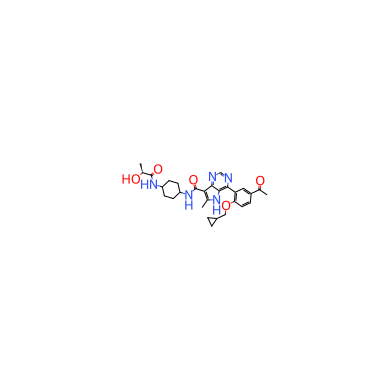 CC(=O)c1ccc(OCC2CC2)c(-c2ncnc3c(C(=O)NC4CCC(NC(=O)[C@H](C)O)CC4)c(C)[nH]c23)c1